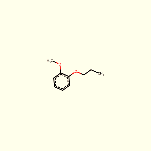 CCCOc1c[c]ccc1OC